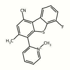 Cc1cc(C#N)c2c(sc3c(F)cccc32)c1-c1cccc[n+]1C